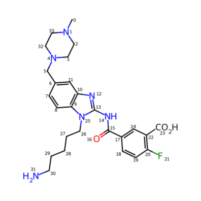 CN1CCN(Cc2ccc3c(c2)nc(NC(=O)c2ccc(F)c(C(=O)O)c2)n3CCCCCN)CC1